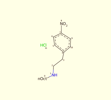 CCCCCCCCNCCc1ccc([N+](=O)[O-])cc1.Cl